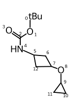 CC(C)(C)OC(=O)NC1CC(OC2CC2)C1